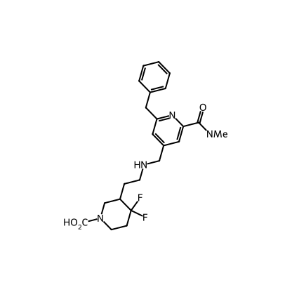 CNC(=O)c1cc(CNCCC2CN(C(=O)O)CCC2(F)F)cc(Cc2ccccc2)n1